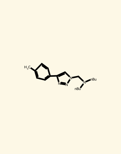 CCCCN(CCCC)Cn1cc(-c2ccc(C)cc2)nn1